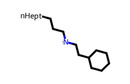 CCCCCCCCCC[N]CCC1CCCCC1